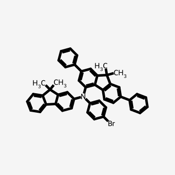 CC1(C)c2ccccc2-c2ccc(N(c3ccc(Br)cc3)c3cc(-c4ccccc4)cc4c3-c3ccc(-c5ccccc5)cc3C4(C)C)cc21